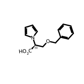 O=C(O)[C@H](COCc1ccccc1)n1cccc1